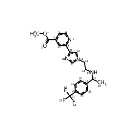 COC(=O)c1ccnc(-c2cn(CCNC(C)c3ccc(C(F)(F)F)cc3)cn2)c1